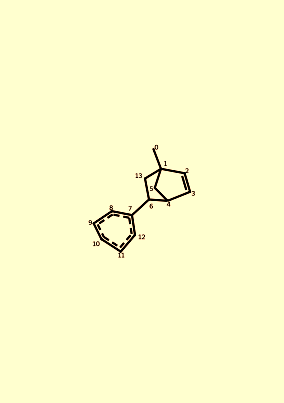 CC12C=CC(C1)C(c1ccccc1)C2